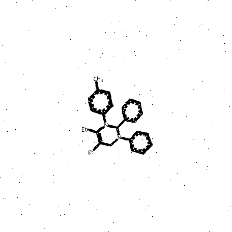 CCC1=C(CC)N(c2ccc(C)cc2)C(c2ccccc2)N(c2ccccc2)C1